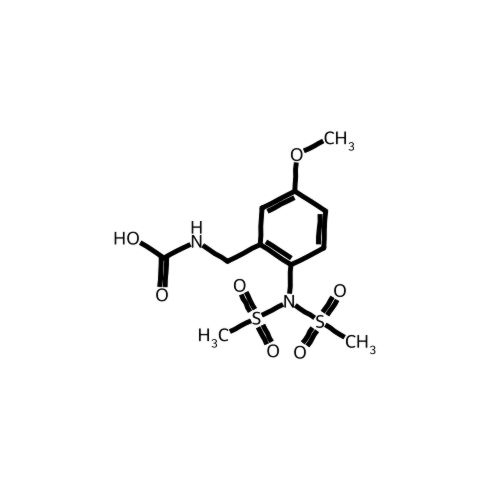 COc1ccc(N(S(C)(=O)=O)S(C)(=O)=O)c(CNC(=O)O)c1